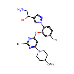 COC1CCN(c2cc(Oc3cc(C#N)ccc3-n3cc(C(O)CN)cn3)nc(C)n2)CC1